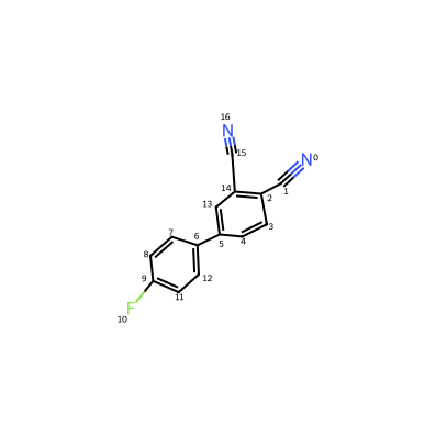 N#Cc1ccc(-c2ccc(F)cc2)cc1C#N